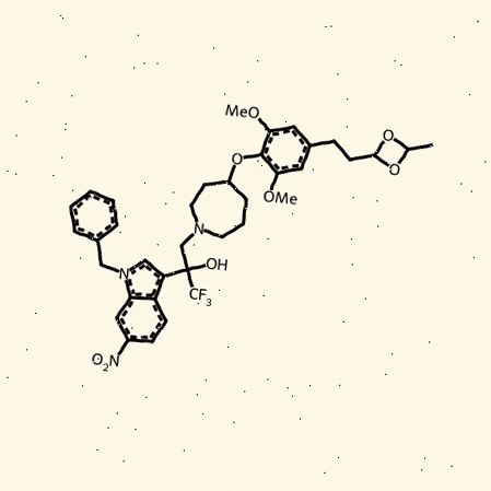 COc1cc(CCC2OC(C)O2)cc(OC)c1OC1CCCN(CC(O)(c2cn(Cc3ccccc3)c3cc([N+](=O)[O-])ccc23)C(F)(F)F)CC1